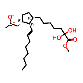 CCCCCCC=C[C@@H]1[C@H](CCCCCC(O)(O)C(=O)OC)CC[C@H]1C[S+](C)[O-]